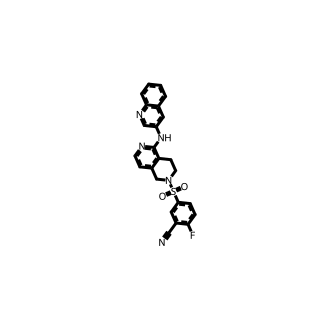 N#Cc1cc(S(=O)(=O)N2CCc3c(ccnc3Nc3cnc4ccccc4c3)C2)ccc1F